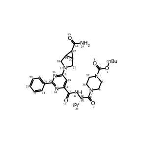 CCCCOC(=O)N1CCN(C(=O)[C@@H](NC(=O)c2cc(N3CC4C(C3)C4C(N)=O)nc(-c3ccccc3)n2)C(C)C)CC1